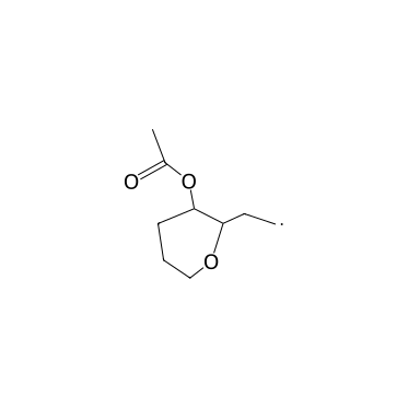 [CH2]CC1OCCCC1OC(C)=O